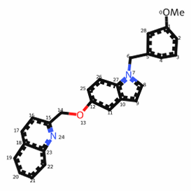 COc1cccc(Cn2ccc3cc(OCc4ccc5ccccc5n4)ccc32)c1